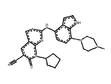 CN1CCN(c2ccc(Nc3ncc4cc(C#N)c(=O)n(C5CCCC5)c4n3)c3cc[nH]c23)CC1